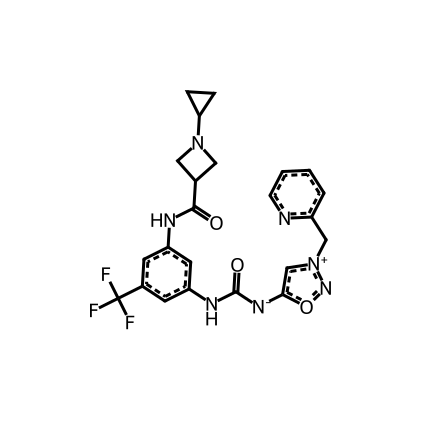 O=C([N-]c1c[n+](Cc2ccccn2)no1)Nc1cc(NC(=O)C2CN(C3CC3)C2)cc(C(F)(F)F)c1